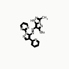 Cc1n[nH]c2c(/N=N/c3c(-c4ccccn4)cnn3-c3ncccn3)c(C(C)(C)C)nn12